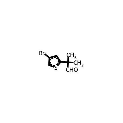 CC(C)(C=O)c1cc(Br)cs1